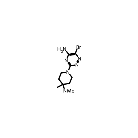 CNC1(C)CCN(c2nnc(Br)c(N)n2)CC1